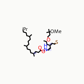 COC(C)(C)CCOC(C)CC(/C=C\NOC(=O)C/C=C(\C)CCCC(C)CCCC(C)CCCC(C)C)=C/C=S